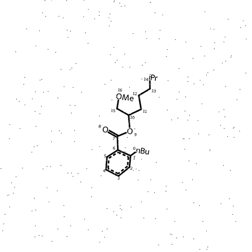 CCCCc1ccccc1C(=O)OC(CCCC(C)C)COC